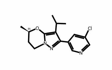 CC(C)c1c(-c2cncc(Cl)c2)nn2c1O[C@H](C)CC2